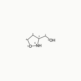 OCC1CCON1